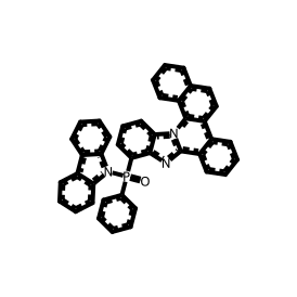 O=P(c1ccccc1)(c1cccc2c1nc1c3ccccc3c3ccc4ccccc4c3n21)n1c2ccccc2c2ccccc21